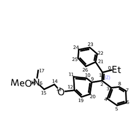 CC/C(=C(\c1ccccc1)c1ccc(OCCN(C)OC)cc1)c1ccccc1